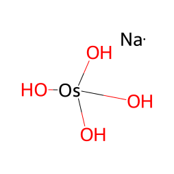 [Na].[OH][Os]([OH])([OH])[OH]